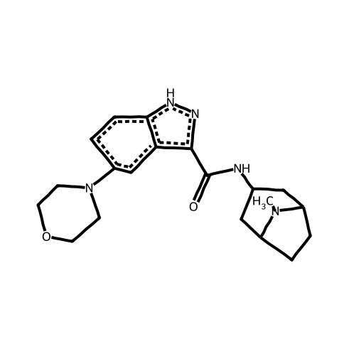 CN1C2CCC1CC(NC(=O)c1n[nH]c3ccc(N4CCOCC4)cc13)C2